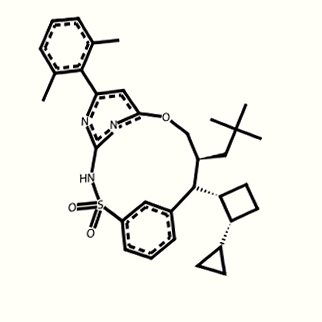 Cc1cccc(C)c1-c1cc2nc(n1)NS(=O)(=O)c1cccc(c1)C([C@@H]1CC[C@@H]1C1CC1)[C@H](CC(C)(C)C)CO2